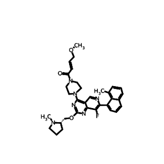 COC/C=C/C(=O)N1CCN(c2nc(OC[C@@H]3CCCN3C)nc3c(F)c(-c4cccc5cccc(C)c45)ncc23)CC1